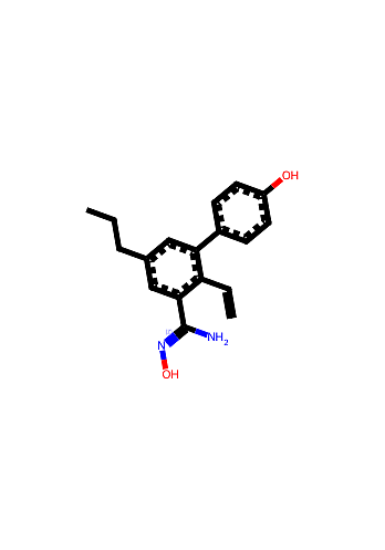 C=Cc1c(/C(N)=N/O)cc(CCC)cc1-c1ccc(O)cc1